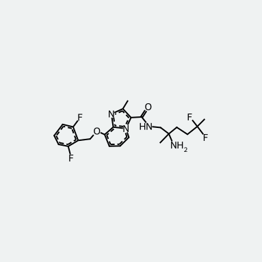 Cc1nc2c(OCc3c(F)cccc3F)cccn2c1C(=O)NCC(C)(N)CCC(C)(F)F